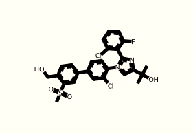 CC(C)(O)c1cn(-c2ccc(-c3ccc(CO)c(S(C)(=O)=O)c3)cc2Cl)c(-c2c(F)cccc2Cl)n1